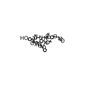 Cc1c(N(C(=O)c2cc(-c3cc4c(cc3C(=O)N3Cc5ccccc5C[C@H]3CN3CCC5(CC3)CC5)CN(C(=O)Cc3ccc(OCCN5CCOCC5)cc3F)CC4)n(C)c2C)c2ccc(O)cc2)cc(C#N)n1C